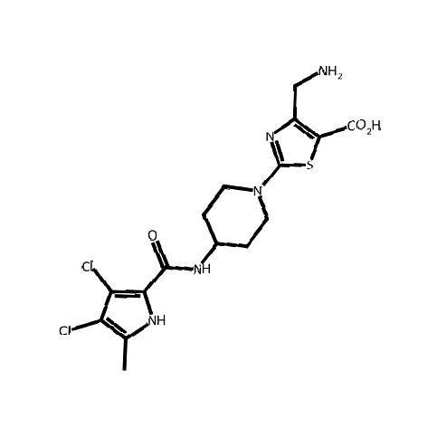 Cc1[nH]c(C(=O)NC2CCN(c3nc(CN)c(C(=O)O)s3)CC2)c(Cl)c1Cl